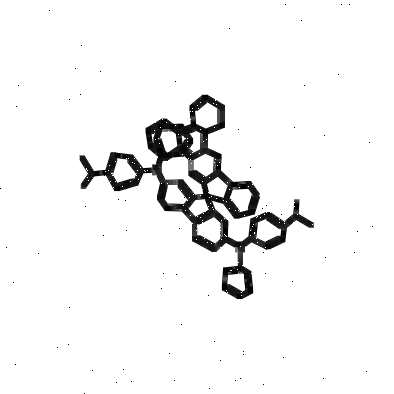 CC(C)c1ccc(N(c2ccccc2)c2ccc3c(c2)C2(c4ccccc4-c4cc5c6ccccc6c6ccccc6c5cc42)c2cc(N(c4ccccc4)c4ccc(C(C)C)cc4)ccc2-3)cc1